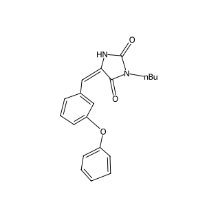 CCCCN1C(=O)NC(=Cc2cccc(Oc3ccccc3)c2)C1=O